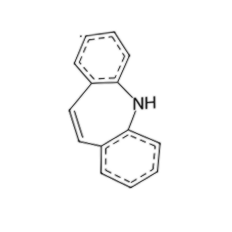 [c]1ccc2c(c1)C=Cc1ccccc1N2